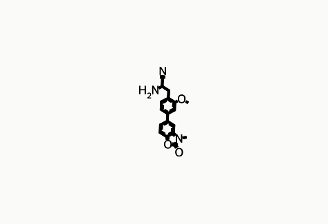 COc1cc(-c2ccc3oc(=O)n(C)c3c2)ccc1CC(N)C#N